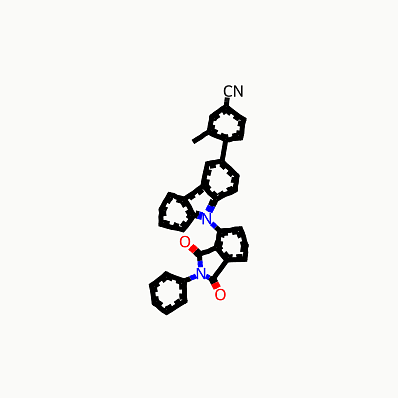 Cc1cc(C#N)ccc1-c1ccc2c(c1)c1ccccc1n2-c1cccc2c1C(=O)N(c1ccccc1)C2=O